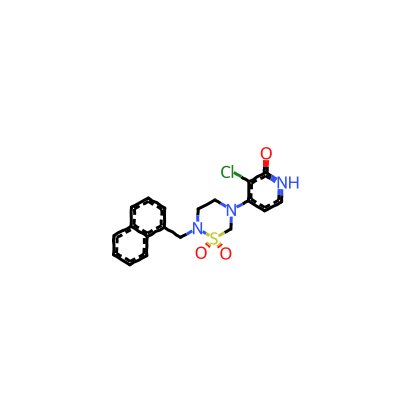 O=c1[nH]ccc(N2CCN(Cc3cccc4ccccc34)S(=O)(=O)C2)c1Cl